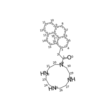 O=C(Cc1ccc2ccc3cccc4ccc1c2c34)N1CCNCCNCCNCC1